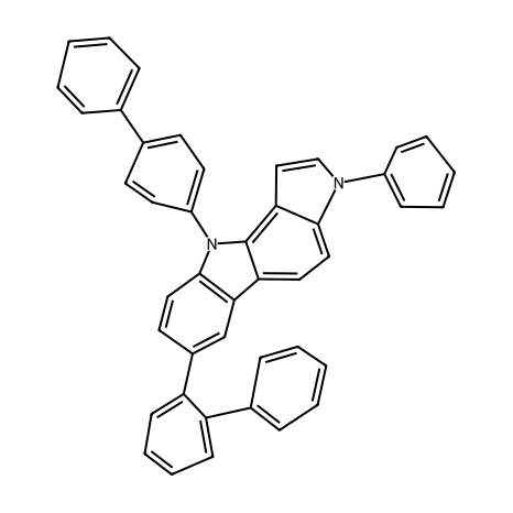 c1ccc(-c2ccc(-n3c4ccc(-c5ccccc5-c5ccccc5)cc4c4ccc5c(ccn5-c5ccccc5)c43)cc2)cc1